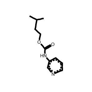 CC(C)CCOC(=O)Nc1cccnc1